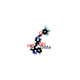 COc1ccc2ncc(CF)c([C@H](O)CCC3(CO)CCN(CCOc4cc(F)c(F)c(F)c4)CC3)c2c1